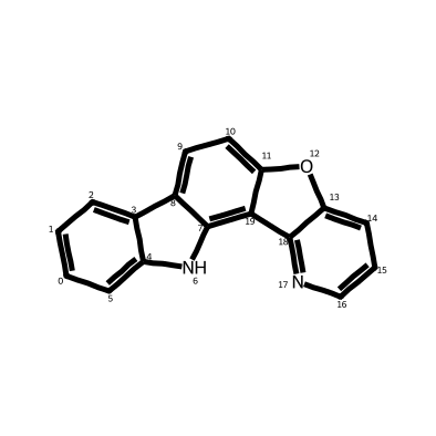 c1ccc2c(c1)[nH]c1c2ccc2oc3cccnc3c21